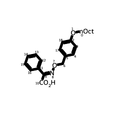 CCCCCCCCOc1ccc(CON=C(C(=O)O)c2ccccc2)cc1